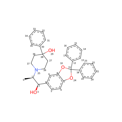 C[C@H]([C@H](O)c1ccc2c(c1)OC(c1ccccc1)(c1ccccc1)O2)N1CCC(O)(c2ccccc2)CC1